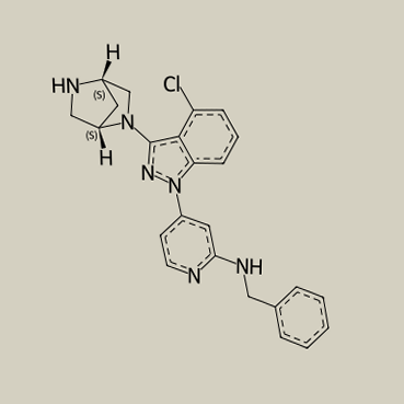 Clc1cccc2c1c(N1C[C@@H]3C[C@H]1CN3)nn2-c1ccnc(NCc2ccccc2)c1